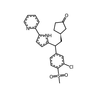 CS(=O)(=O)c1ccc(C(C[C@H]2CCC(=O)C2)c2ccc(-c3ccccn3)[nH]2)cc1Cl